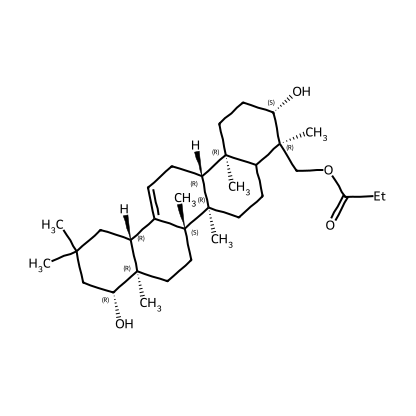 CCC(=O)OC[C@@]1(C)C2CC[C@]3(C)[C@H](CC=C4[C@H]5CC(C)(C)C[C@@H](O)[C@]5(C)CC[C@]43C)[C@@]2(C)CC[C@@H]1O